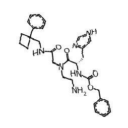 NCCN(CC(=O)NCC1(c2ccccc2)CCC1)C(=O)[C@H](Cc1c[nH]cn1)NC(=O)OCc1ccccc1